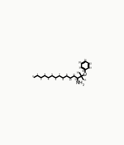 CCCCCCCCCCCCC(N)C(C)(C)Oc1ccccc1